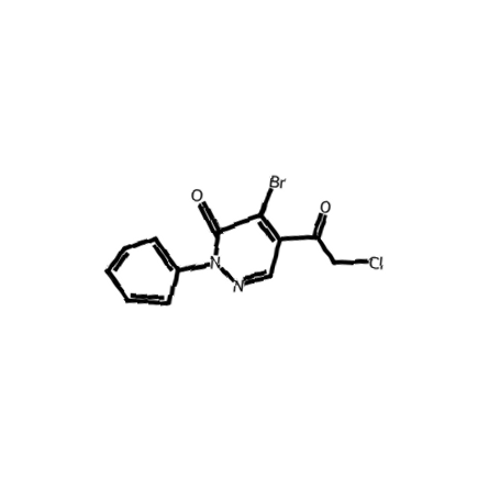 O=C(CCl)c1cnn(-c2ccccc2)c(=O)c1Br